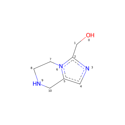 OCc1ncc2n1CCNC2